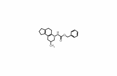 CC1CC2=C(CCC3=C2CCC3)N(NC(=O)OCc2ccccc2)C1